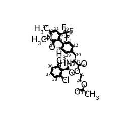 CC(=O)OCCOC(=O)[C@H](Cc1ccc(-c2c(C(F)(F)F)cc(C)n(C)c2=O)cc1)NC(=O)c1c(C)cccc1Cl